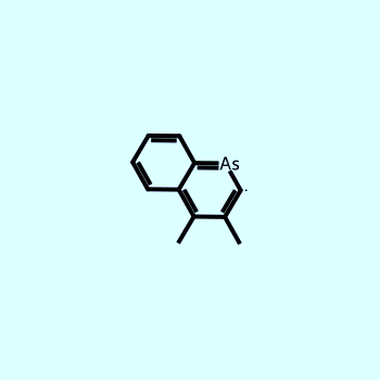 CC1=[C][As]=c2ccccc2=C1C